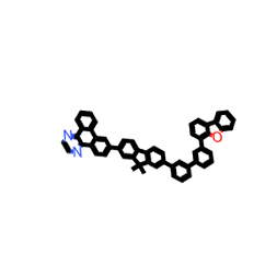 CC1(C)c2cc(-c3cccc(-c4cccc(-c5cccc6c5oc5ccccc56)c4)c3)ccc2-c2ccc(-c3ccc4c(c3)c3ccccc3c3nccnc43)cc21